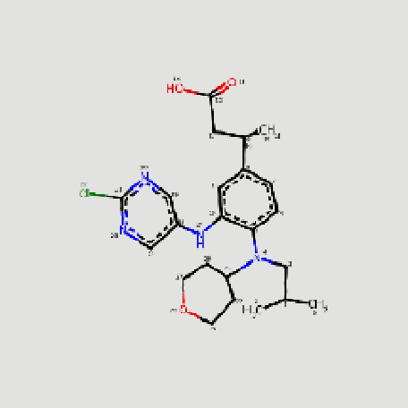 CC(C)CN(c1ccc([C@H](C)CC(=O)O)cc1Nc1cnc(Cl)nc1)C1CCOCC1